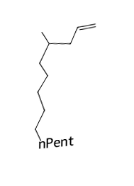 C=CCC(C)CCCCCCCCCC